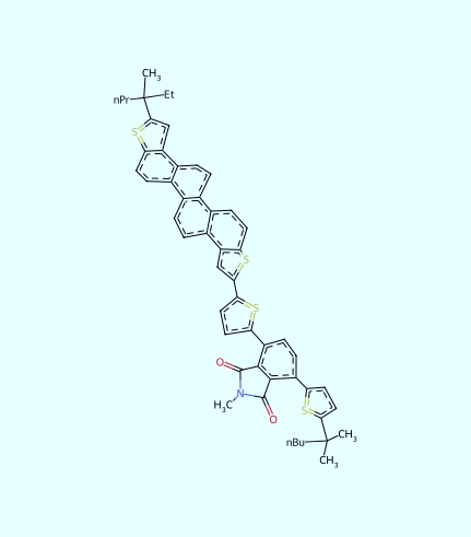 CCCCC(C)(C)c1ccc(-c2ccc(-c3ccc(-c4cc5c(ccc6c5ccc5c7ccc8sc(C(C)(CC)CCC)cc8c7ccc65)s4)s3)c3c2C(=O)N(C)C3=O)s1